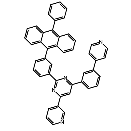 c1ccc(-c2c3ccccc3c(-c3cccc(-c4nc(-c5cccnc5)cc(-c5cccc(-c6ccncc6)c5)n4)c3)c3ccccc23)cc1